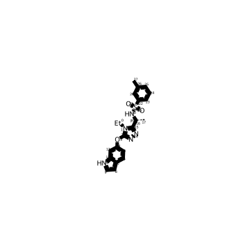 CCn1c(Oc2ccc3cc[nH]c3c2)nnc1[C@@H](C)NS(=O)(=O)c1cccc(C)c1